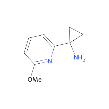 COc1cccc(C2(N)CC2)n1